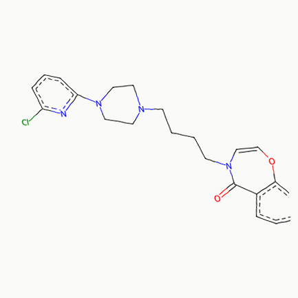 O=C1c2ccccc2OC=CN1CCCCN1CCN(c2cccc(Cl)n2)CC1